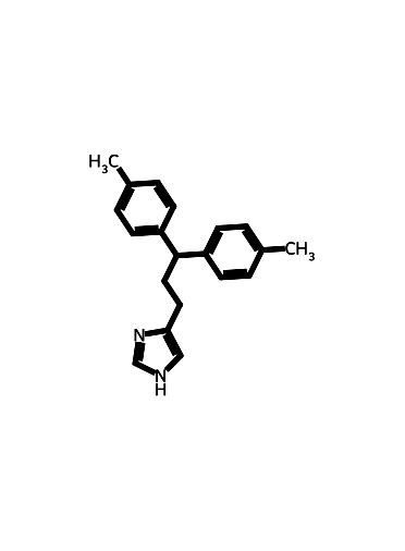 Cc1ccc(C(CCc2c[nH]cn2)c2ccc(C)cc2)cc1